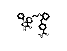 CN(C)C(=O)c1ccc(Cc2ccccc2OCCN2CCC3(CC2)C(=O)NCN3c2ccccc2)cc1